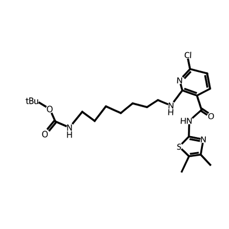 Cc1nc(NC(=O)c2ccc(Cl)nc2NCCCCCCCNC(=O)OC(C)(C)C)sc1C